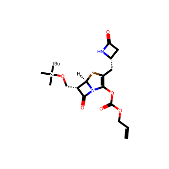 C=CCOC(=O)OC1=C(C[C@H]2CC(=O)N2)S[C@@H]2[C@@H](CO[Si](C)(C)C(C)(C)C)C(=O)N12